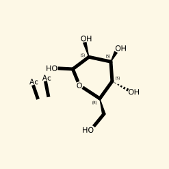 CC(C)=O.CC(C)=O.OC[C@H]1OC(O)[C@@H](O)[C@@H](O)[C@@H]1O